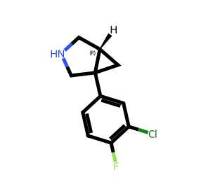 Fc1ccc(C23CNC[C@@H]2C3)cc1Cl